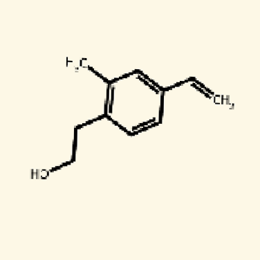 C=Cc1ccc(CCO)c(C)c1